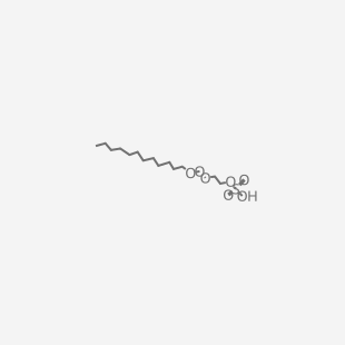 CCCCCCCCCCCCOOOCCOS(=O)(=O)O